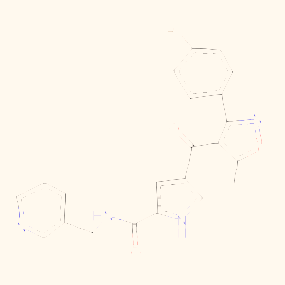 Cc1onc(-c2ccc(Br)cc2)c1C(=O)c1c[nH]c(C(=O)NCc2cccnc2)c1